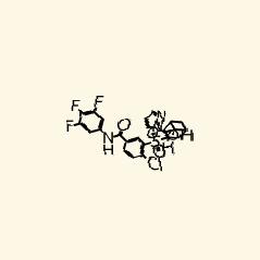 O=C(Nc1cc(F)c(F)c(F)c1)c1ccc(Cl)c(S(=O)(=O)[C@H]2CC3CC(C2)[C@@]3(O)Cn2cccn2)c1